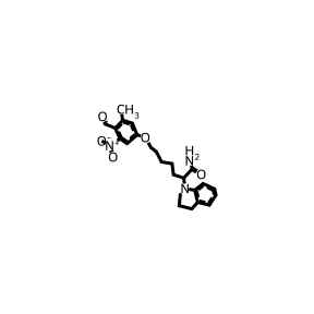 Cc1cc(OCCCCCC(C(N)=O)N2CCCc3ccccc32)cc([N+](=O)[O-])c1C=O